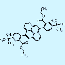 CCOC(=O)c1cc(C(C)(C)C)ccc1-c1cc2cccc3c(-c4ccc(C(C)(C)C)cc4C(=O)OCC)cc4cccc1c4c23